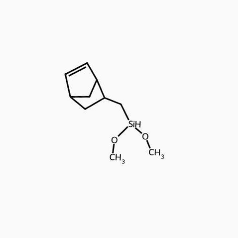 CO[SiH](CC1CC2C=CC1C2)OC